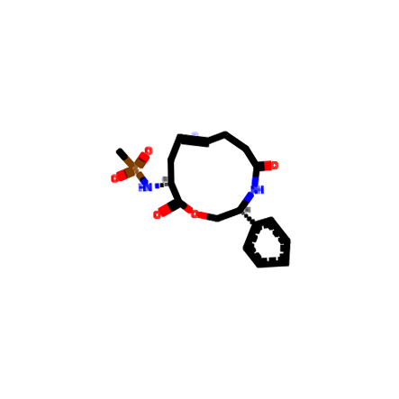 CS(=O)(=O)N[C@@H]1C/C=C/CCC(=O)N[C@H](c2ccccc2)COC1=O